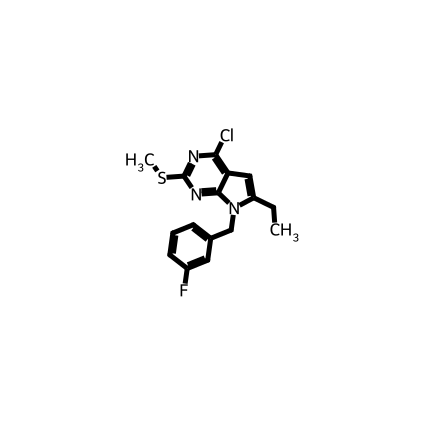 CCc1cc2c(Cl)nc(SC)nc2n1Cc1cccc(F)c1